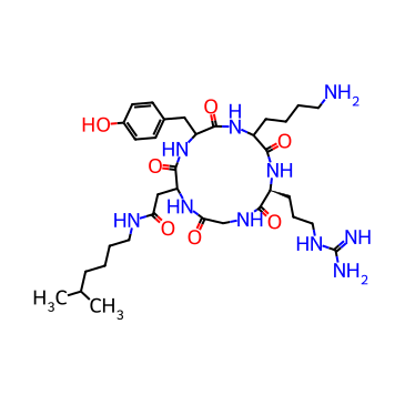 CC(C)CCCCNC(=O)CC1NC(=O)CNC(=O)[C@H](CCCNC(=N)N)NC(=O)C(CCCCN)NC(=O)C(Cc2ccc(O)cc2)NC1=O